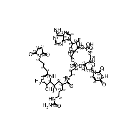 CC(C)C(NC(=O)CCCCN1C(=O)C=CC1=O)C(=O)CC(CCCNC(N)=O)C(=O)NCCSP1(=O)OC[C@H]2O[C@@H](n3cnc4c(N)ncnc43)C(F)[C@@H]2OP(=O)(O)OC[C@H]2O[C@@H](n3ccc(=O)[nH]c3=O)C[C@@H]2O1